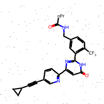 CCCC(=O)NCc1ccc(C(F)(F)F)c(-c2nc(-c3ccc(C#CC4CC4)cn3)cc(=O)[nH]2)c1